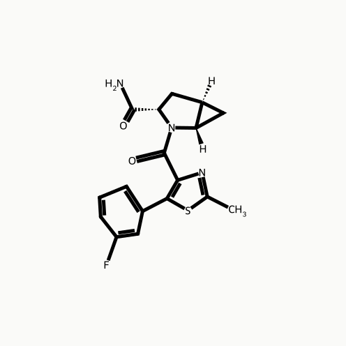 Cc1nc(C(=O)N2[C@H](C(N)=O)C[C@H]3C[C@@H]32)c(-c2cccc(F)c2)s1